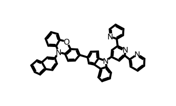 c1ccc(-c2cc(-n3c4ccccc4c4cc(-c5ccc6c(c5)Oc5ccccc5N6c5ccc6ccccc6c5)ccc43)cc(-c3ccccn3)n2)nc1